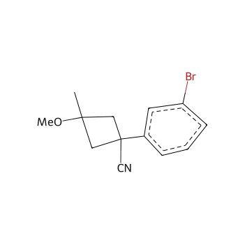 COC1(C)CC(C#N)(c2cccc(Br)c2)C1